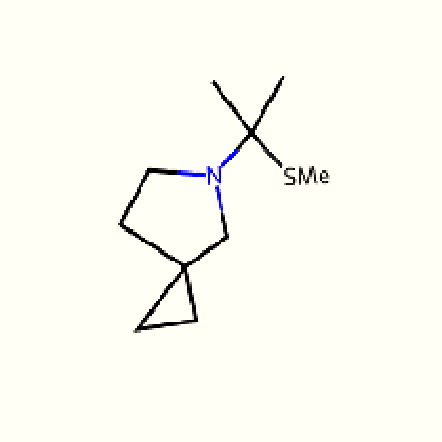 CSC(C)(C)N1CCC2(CC2)C1